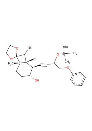 CCC1[C@@H]2[C@@H](C#C[C@@H](COc3ccccc3)O[Si](C)(C)C(C)(C)C)[C@H](O)CC[C@]2(C)C12OCCO2